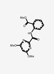 COC(=O)c1ccccc1NC(=O)c1nc(OC)cc(OC)n1